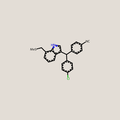 [C-]#[N+]c1ccc(C(c2ccc(Cl)cc2)c2c[nH]c3c(CSC)cccc23)cc1